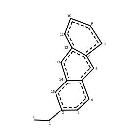 CCc1ccc2cc3c[c]ccc3cc2c1